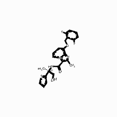 Cc1nc2c(OCc3c(F)cccc3F)cccn2c1C(=O)N[C@@](C)(CO)c1cccs1